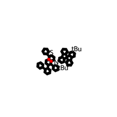 CC(C)(C)c1ccc2c(c1)C1(c3ccccc3-c3cc(N(c4ccc5c(c4)sc4ccccc45)c4ccccc4-c4ccccc4-c4ccccc4-c4ccccc4)ccc31)c1cc(C(C)(C)C)ccc1-2